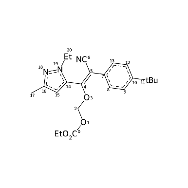 CCOC(=O)OCO/C(=C(/C#N)c1ccc(C(C)(C)C)cc1)c1cc(C)nn1CC